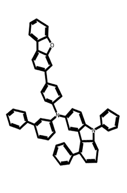 c1ccc(-c2cccc(N(c3ccc(-c4ccc5c(c4)oc4ccccc45)cc3)c3ccc4c(c3)c3c(-c5ccccc5)cccc3n4-c3ccccc3)c2)cc1